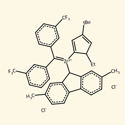 CCC1C=C(C(C)(C)C)C=[C]1[Zr+2](=[C](c1cccc(C(F)(F)F)c1)c1cccc(C(F)(F)F)c1)[CH]1c2cc(C)ccc2-c2ccc(C)cc21.[Cl-].[Cl-]